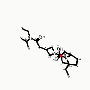 CCN(C(=O)CC1CN(C2CC3CCC(CC)(C2)N3C(=O)O)C1)C(C)C